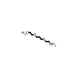 CCCOCCCSCCN